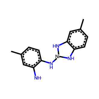 Cc1ccc([NH][Ni]2[NH]c3ccc(C)cc3[NH]2)c([NH])c1